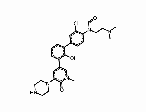 CN(C)CCN(C=O)c1ccc(-c2cccc(-c3cc(N4CCNCC4)c(=O)n(C)c3)c2O)cc1Cl